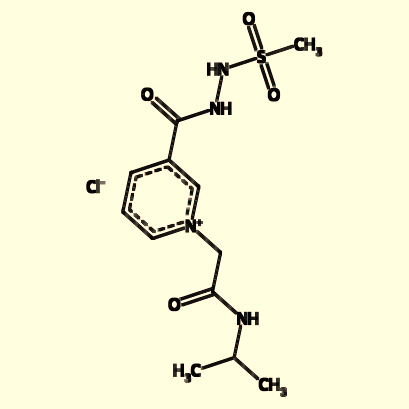 CC(C)NC(=O)C[n+]1cccc(C(=O)NNS(C)(=O)=O)c1.[Cl-]